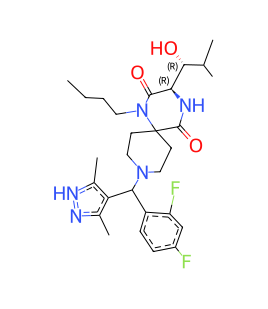 CCCCN1C(=O)[C@@H]([C@H](O)C(C)C)NC(=O)C12CCN(C(c1ccc(F)cc1F)c1c(C)n[nH]c1C)CC2